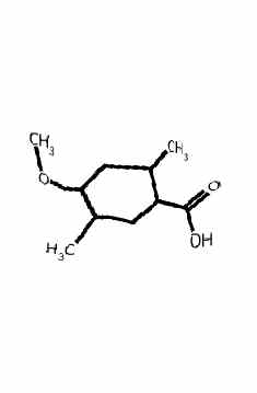 COC1CC(C)C(C(=O)O)CC1C